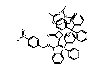 CON1C(=O)C[C@@H]1C(OC(C)=O)[C@H]1C(=O)N(C(C(=O)OCc2ccc([N+](=O)[O-])cc2)=P(c2ccccc2)(c2ccccc2)c2ccccc2)[C@@H]1SC(c1ccccc1)(c1ccccc1)c1ccccc1